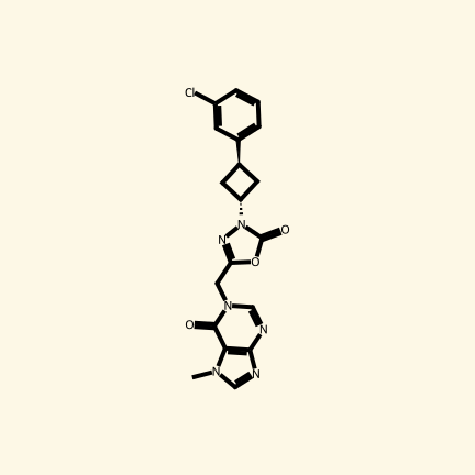 Cn1cnc2ncn(Cc3nn([C@H]4C[C@H](c5cccc(Cl)c5)C4)c(=O)o3)c(=O)c21